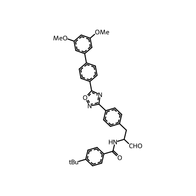 COc1cc(OC)cc(-c2ccc(-c3nc(-c4ccc(CC(C=O)NC(=O)c5ccc(C(C)(C)C)cc5)cc4)no3)cc2)c1